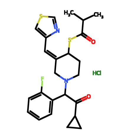 CC(C)C(=O)SC1CCN(C(C(=O)C2CC2)c2ccccc2F)CC1=Cc1cscn1.Cl